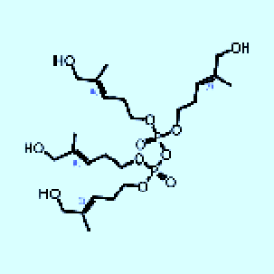 C/C(=C\CCOP(=O)(OCC/C=C(\C)CO)OP(=O)(OCC/C=C(\C)CO)OCC/C=C(\C)CO)CO